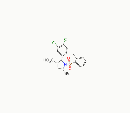 Cc1ccccc1S(=O)(=O)N1C(C(C)(C)C)C=C(C(=O)O)[C@@H]1c1ccc(Cl)c(Cl)c1